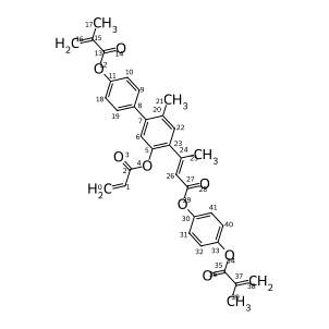 C=CC(=O)Oc1cc(-c2ccc(OC(=O)C(=C)C)cc2)c(C)cc1/C(C)=C/C(=O)Oc1ccc(OC(=O)C(=C)C)cc1